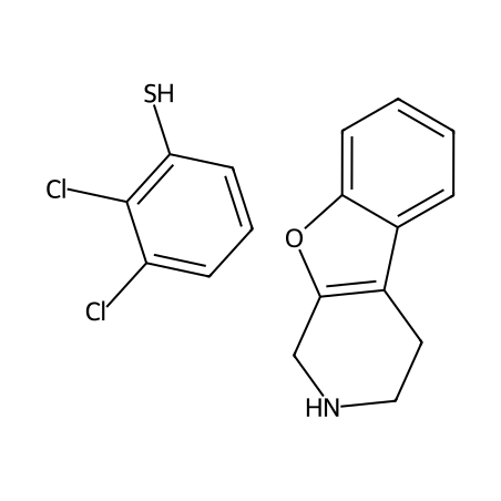 Sc1cccc(Cl)c1Cl.c1ccc2c3c(oc2c1)CNCC3